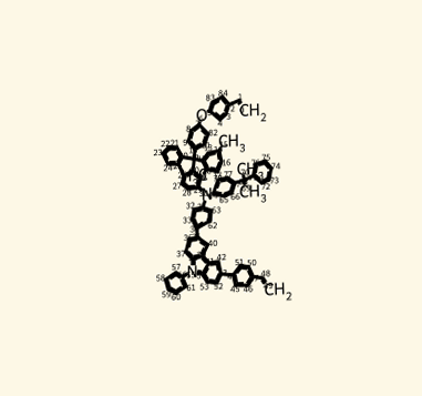 C=Cc1ccc(Oc2ccc(C3(c4cc(C)ccc4C)c4ccccc4-c4ccc(N(c5ccc(-c6ccc7c(c6)c6cc(-c8ccc(C=C)cc8)ccc6n7-c6ccccc6)cc5)c5ccc(C(C)(C)c6ccccc6)cc5)cc43)cc2)cc1